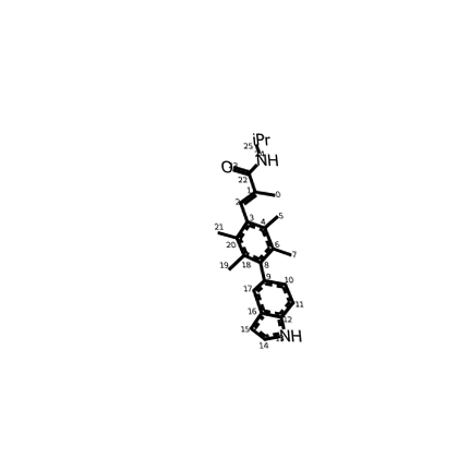 C/C(=C\c1c(C)c(C)c(-c2ccc3[nH]ccc3c2)c(C)c1C)C(=O)NC(C)C